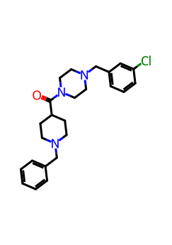 O=C(C1CCN(Cc2ccccc2)CC1)N1CCN(Cc2cccc(Cl)c2)CC1